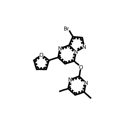 Cc1cc(C)nc(Oc2cc(-c3ccco3)nc3c(Br)cnn23)n1